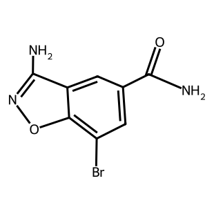 NC(=O)c1cc(Br)c2onc(N)c2c1